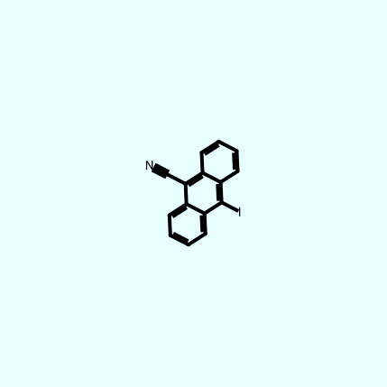 N#Cc1c2ccccc2c(I)c2ccccc12